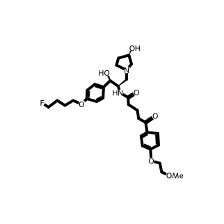 COCCOc1ccc(C(=O)CCCC(=O)N[C@H](CN2CC[C@H](O)C2)[C@H](O)c2ccc(OCCCCF)cc2)cc1